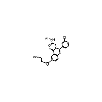 CC(=O)OC=CC1CC1c1ccc2nc(-c3cccc(Cl)c3)n(CC(=O)NC(C)C)c(=O)c2c1